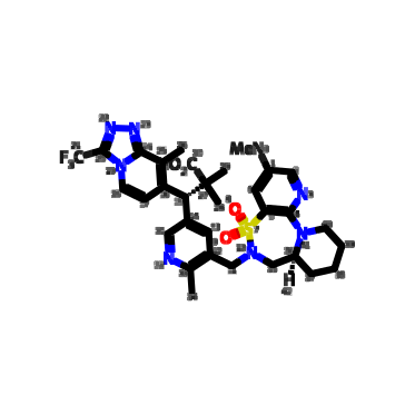 CNc1cnc2c(c1)S(=O)(=O)N(Cc1cc([C@H](c3ccn4c(C(F)(F)F)nnc4c3C)C(C)(C)C(=O)O)cnc1C)C[C@@H]1CCCCN21